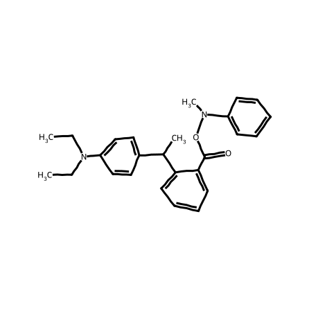 CCN(CC)c1ccc(C(C)c2ccccc2C(=O)ON(C)c2ccccc2)cc1